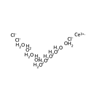 O.O.O.O.O.O.O.O.O.O.[Ce+3].[Cl-].[Cl-].[Cl-]